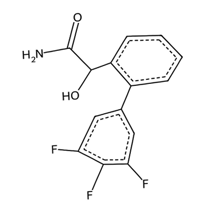 NC(=O)C(O)c1ccccc1-c1cc(F)c(F)c(F)c1